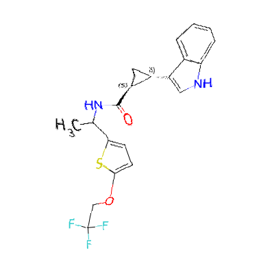 CC(NC(=O)[C@H]1C[C@@H]1c1c[nH]c2ccccc12)c1ccc(OCC(F)(F)F)s1